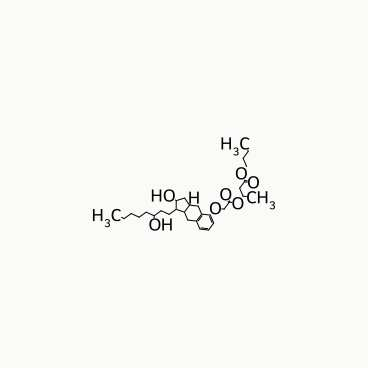 CCCCC[C@H](O)CCC1C2Cc3cccc(OCC(=O)OC(C)CC(=O)OCCCC)c3C[C@H]2C[C@H]1O